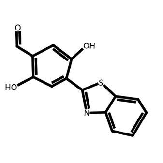 O=Cc1cc(O)c(-c2nc3ccccc3s2)cc1O